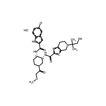 COCC(=O)N1CC[C@H](NC(=O)c2cc3cc(Cl)ccc3[nH]2)[C@H](NC(=O)c2nc3c(s2)CN(C(C)(C)CO)CC3)C1.Cl